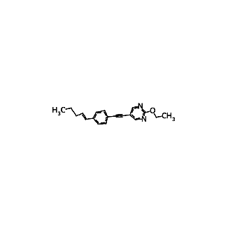 CCCC=Cc1ccc(C#Cc2cnc(OCC)nc2)cc1